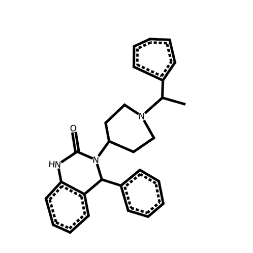 CC(c1ccccc1)N1CCC(N2C(=O)Nc3ccccc3C2c2ccccc2)CC1